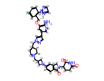 C[C@H](Oc1cc(-c2cnn(CC3CCN(CC4CN(c5ccc6c(c5)CN(C5CCC(=O)NC5=O)C6=O)C4)CC3)c2)cnc1N)c1cc(F)ccc1-n1nccn1